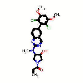 C=CC(=O)N1CC(O)C(N(C)c2ncc3cc(-c4c(Cl)c(OC)cc(OC)c4Cl)ccc3n2)C1